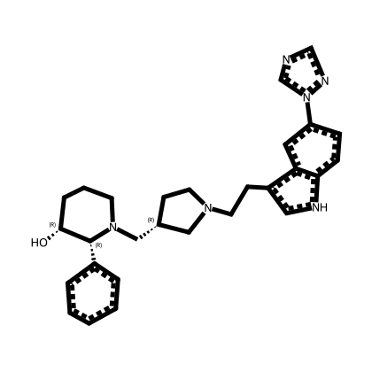 O[C@@H]1CCCN(C[C@@H]2CCN(CCc3c[nH]c4ccc(-n5cncn5)cc34)C2)[C@@H]1c1ccccc1